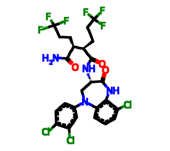 NC(=O)[C@@H](CCC(F)(F)F)[C@@H](CCC(F)(F)F)C(=O)N[C@H]1CN(c2ccc(Cl)c(Cl)c2)c2cccc(Cl)c2NC1=O